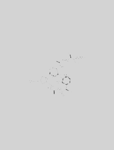 CC[C@H](C)[C@@H]([C@@H](CC(=O)N1C[C@H](OC)CC1[C@H](OC)[C@@H](C)C(=O)N[C@H](C)C(=O)c1cccc(OC)c1)OC)N(C)C(=O)[C@@H](NC(=O)[C@@H](NC)C(C)C)C(C)C